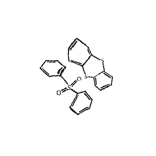 O=S(=O)(c1ccccc1)c1ccccc1.c1ccc2c(c1)Sc1ccccc1S2